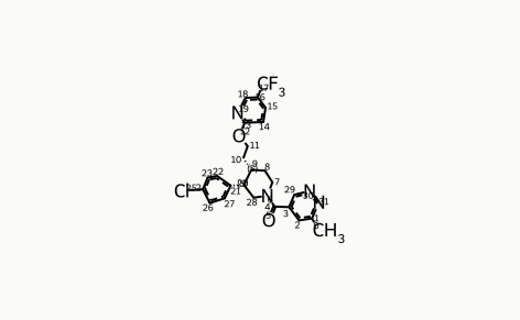 Cc1cc(C(=O)N2CC[C@@H](CCOc3ccc(C(F)(F)F)cn3)[C@@H](c3ccc(Cl)cc3)C2)cnn1